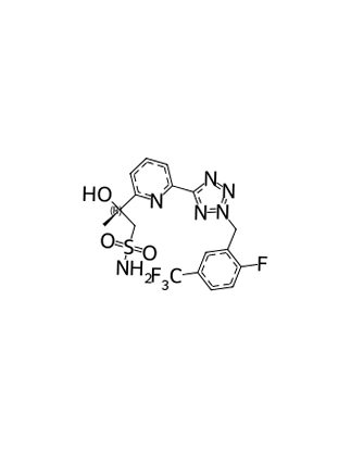 C[C@](O)(CS(N)(=O)=O)c1cccc(-c2nnn(Cc3cc(C(F)(F)F)ccc3F)n2)n1